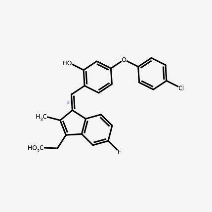 CC1=C(CC(=O)O)c2cc(F)ccc2/C1=C\c1ccc(Oc2ccc(Cl)cc2)cc1O